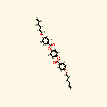 C=CCCCCOc1ccc(C(=O)Oc2ccc(OC(=O)c3ccc(OCCCCC=C)cc3)cc2)cc1